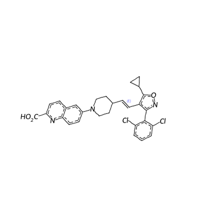 O=C(O)c1ccc2cc(N3CCC(/C=C/c4c(-c5c(Cl)cccc5Cl)noc4C4CC4)CC3)ccc2n1